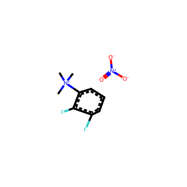 C[N+](C)(C)c1cccc(F)c1F.O=[N+]([O-])[O-]